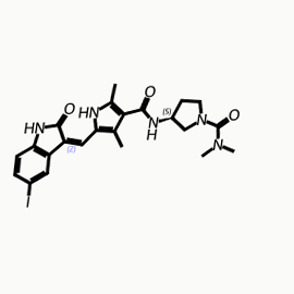 Cc1[nH]c(/C=C2\C(=O)Nc3ccc(I)cc32)c(C)c1C(=O)N[C@H]1CCN(C(=O)N(C)C)C1